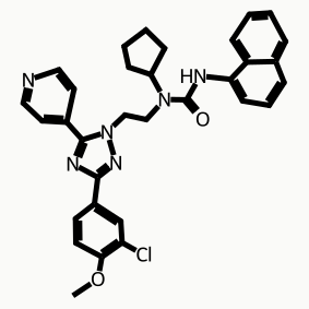 COc1ccc(-c2nc(-c3ccncc3)n(CCN(C(=O)Nc3cccc4ccccc34)C3CCCC3)n2)cc1Cl